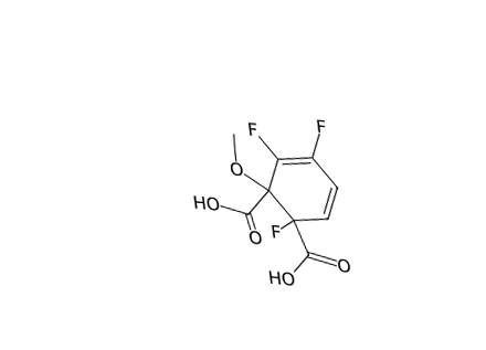 COC1(C(=O)O)C(F)=C(F)C=CC1(F)C(=O)O